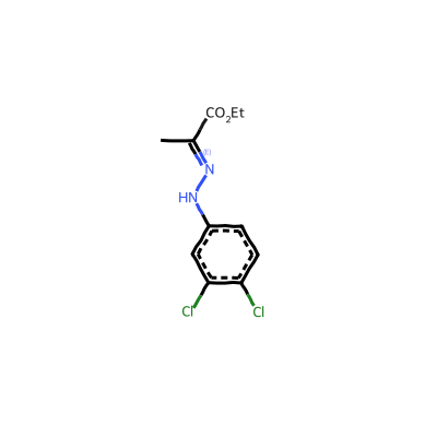 CCOC(=O)/C(C)=N/Nc1ccc(Cl)c(Cl)c1